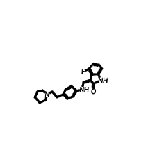 O=C1Nc2cccc(F)c2C1=CNc1ccc(CCN2CCCCC2)cc1